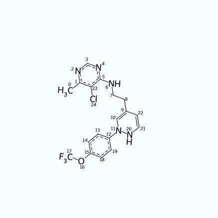 Cc1ncnc(NCCC2=CN(c3ccc(OC(F)(F)F)cc3)NC=C2)c1Cl